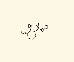 COC(=O)C1CCCC(=O)C1Br